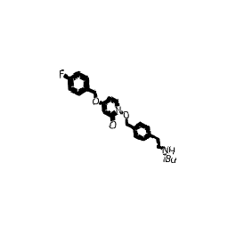 CCC(C)NCCc1ccc(COn2ccc(OCc3ccc(F)cc3)cc2=O)cc1